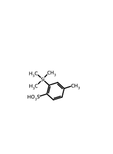 Cc1ccc(S(=O)(=O)O)c([Si](C)(C)C)c1